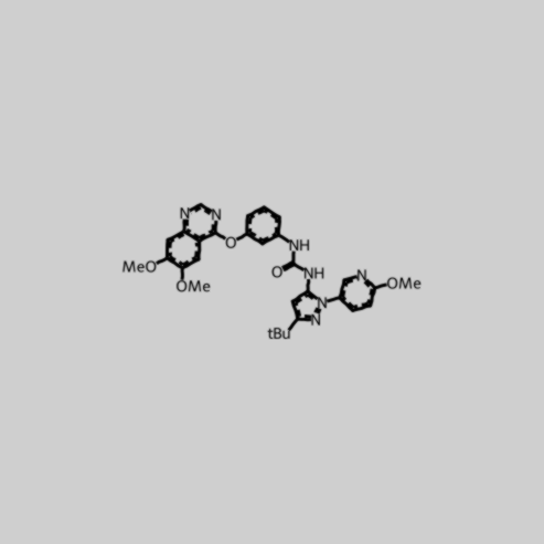 COc1ccc(-n2nc(C(C)(C)C)cc2NC(=O)Nc2cccc(Oc3ncnc4cc(OC)c(OC)cc34)c2)cn1